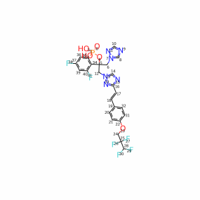 O=P(O)(O)OC(Cn1cncn1)(Cn1cnc(C=Cc2ccc(OCC(F)(F)C(F)F)cc2)n1)c1ccc(F)cc1F